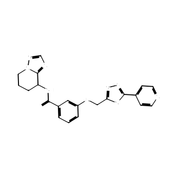 O=C(NC1CCCn2ncnc21)c1cccc(NCc2nnc(-c3ccncc3)[nH]2)c1